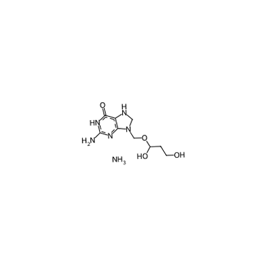 N.Nc1nc2c(c(=O)[nH]1)NCN2COC(O)CCO